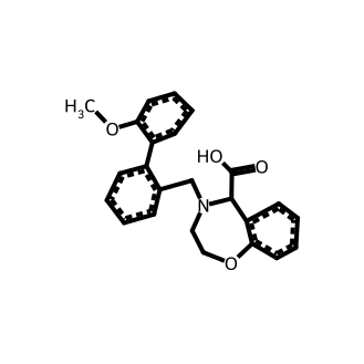 COc1ccccc1-c1ccccc1CN1CCOc2ccccc2C1C(=O)O